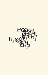 CCc1c(C)c(C)cc2c1N(C(=O)O)CCN2C(=O)c1ccc(OC)c(OC(C)C)c1